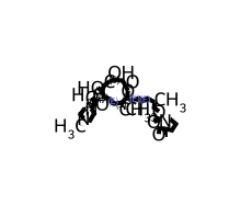 C/C(=C\C=C\C(C)COC(=O)N1CCCC12COC2)[C@H]1OC(=O)C[C@@H](O)CC[C@](C)(O)[C@@H](OC(=O)N2CCN(C)CC2)/C=C/[C@@H]1C